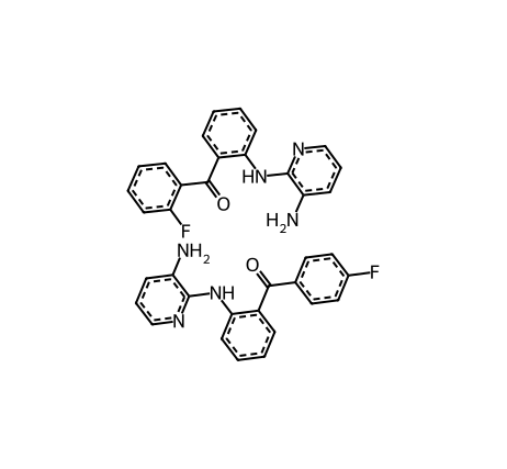 Nc1cccnc1Nc1ccccc1C(=O)c1ccc(F)cc1.Nc1cccnc1Nc1ccccc1C(=O)c1ccccc1F